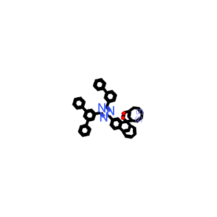 C1=CC2=CC(C=C1)C1(c3cc(-c4nc(-c5cccc(-c6ccccc6)c5)nc(-c5cc(-c6ccccc6)cc(-c6ccccc6)c5)n4)ccc32)c2ccccc2C2=CC1/C=C\C=C/C2